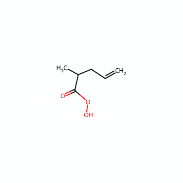 C=CCC(C)C(=O)OO